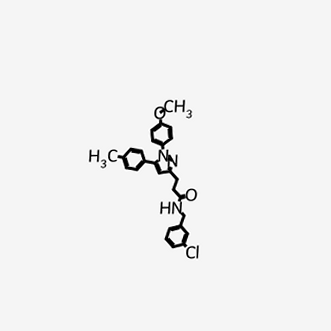 COc1ccc(-n2nc(CCC(=O)NCc3cccc(Cl)c3)cc2-c2ccc(C)cc2)cc1